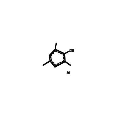 Cc1cc(C)c(O)c(C)c1.[Al]